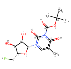 Cc1cn([C@@H]2O[C@H](CF)[C@@H](O)[C@H]2O)c(=O)n(C(=O)OC(C)(C)C)c1=O